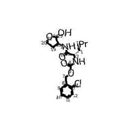 CC(C)C[C@H](NC(=O)OCc1ccccc1Cl)C(=O)N[C@H]1CCOC1O